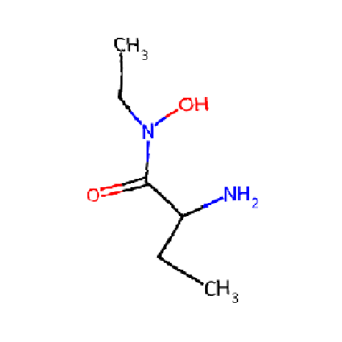 CCC(N)C(=O)N(O)CC